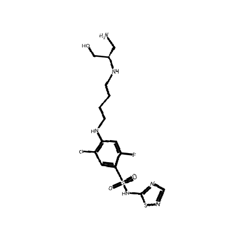 NC[C@H](CO)NCCCCNc1cc(F)c(S(=O)(=O)Nc2ncns2)cc1Cl